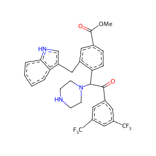 COC(=O)c1ccc(C(C(=O)c2cc(C(F)(F)F)cc(C(F)(F)F)c2)N2CCNCC2)c(Cc2c[nH]c3ccccc23)c1